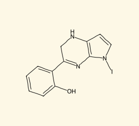 Oc1ccccc1C1=Nc2c(ccn2I)NC1